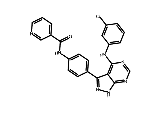 O=C(Nc1ccc(-c2n[nH]c3ncnc(Nc4cccc(Cl)c4)c23)cc1)c1cccnc1